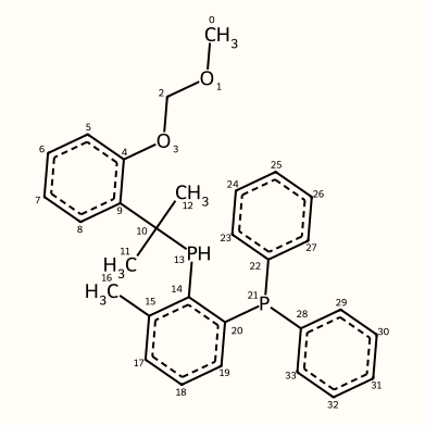 COCOc1ccccc1C(C)(C)Pc1c(C)cccc1P(c1ccccc1)c1ccccc1